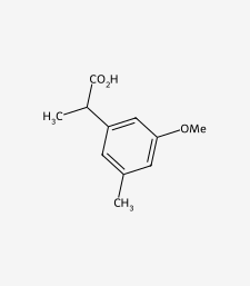 COc1cc(C)cc(C(C)C(=O)O)c1